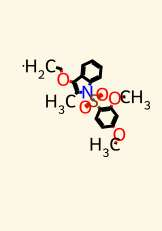 [CH2]COc1c(C)n(S(=O)(=O)c2ccc(OC)cc2OC)c2ccccc12